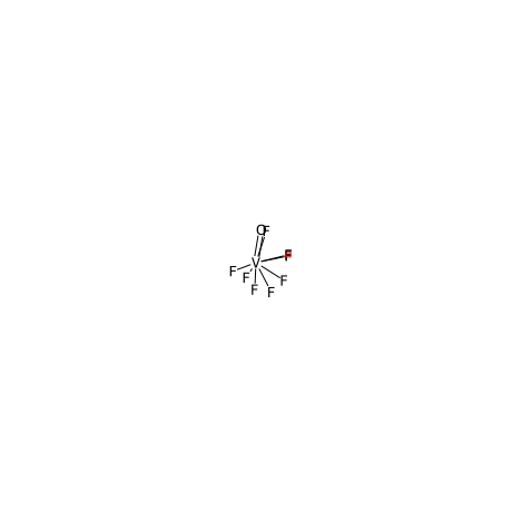 [O]=[V]([F])([F])([F])([F])([F])([F])([F])[F]